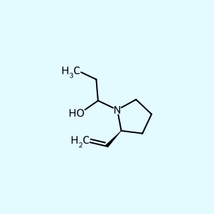 C=C[C@@H]1CCCN1C(O)CC